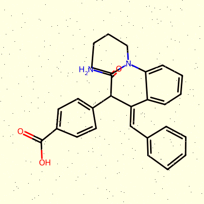 NC(=O)C(C(=Cc1ccccc1)c1ccccc1N1CCCCC1)c1ccc(C(=O)O)cc1